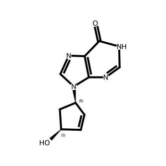 O=c1[nH]cnc2c1ncn2[C@H]1C=C[C@@H](O)C1